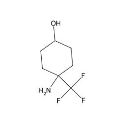 NC1(C(F)(F)F)CCC(O)CC1